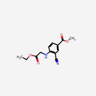 CCOC(=O)CNc1ccc(C(=O)OC)cc1C#N